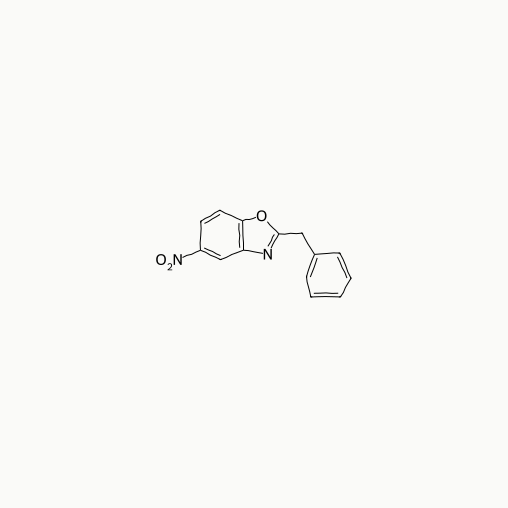 O=[N+]([O-])c1ccc2oc(Cc3ccccc3)nc2c1